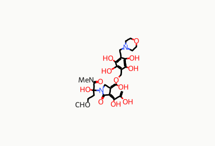 C=C(O)/C(O)=C1/C(=O)N(C(O)(CCC=O)C(=O)NC)C/C1=C(/O)OCc1c(O)c(O)c(CN2CCOCC2)c(O)c1O